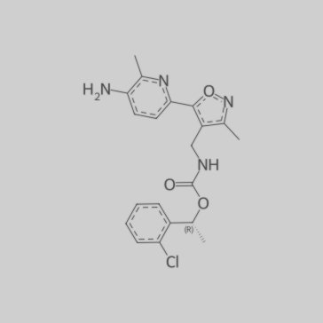 Cc1nc(-c2onc(C)c2CNC(=O)O[C@H](C)c2ccccc2Cl)ccc1N